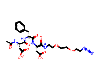 CC(=O)N[C@@H](CC(=O)O)C(=O)N[C@H](Cc1ccccc1)C(=O)N[C@@H](CC(=O)O)C(=O)NCCOCCOCCN=[N+]=[N-]